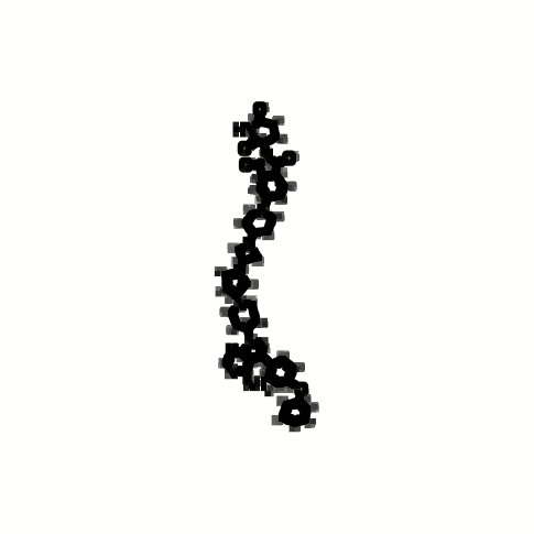 Nc1ncnc2c1c(-c1ccc(Oc3ccccc3)cc1)nn2C1CCN(c2ccn(C3CN(C4CCN(c5ccc6c(c5)C(=O)N(C5CCC(=O)NC5=O)C6=O)CC4)C3)c2)CC1